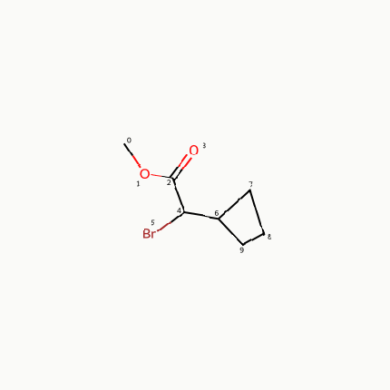 COC(=O)C(Br)C1CCC1